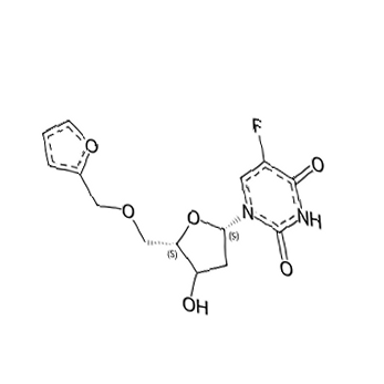 O=c1[nH]c(=O)n([C@@H]2CC(O)[C@H](COCc3ccco3)O2)cc1F